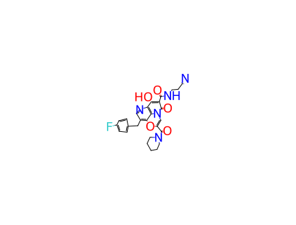 N#CCCNC(=O)c1c(O)c2ncc(Cc3ccc(F)cc3)c3c2n(c1=O)C=C(C(=O)N1CCCCC1)O3